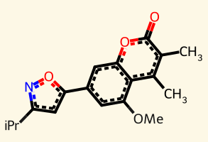 COc1cc(-c2cc(C(C)C)no2)cc2oc(=O)c(C)c(C)c12